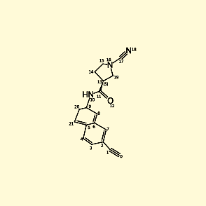 C#Cc1ccc2c(c1)=CC(NC(=O)[C@H]1CCN(C#N)C1)CC=2